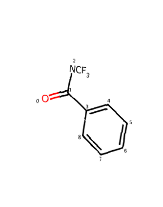 O=C(NC(F)(F)F)c1ccccc1